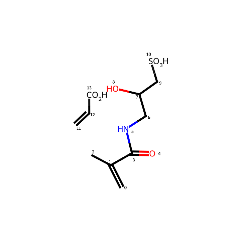 C=C(C)C(=O)NCC(O)CS(=O)(=O)O.C=CC(=O)O